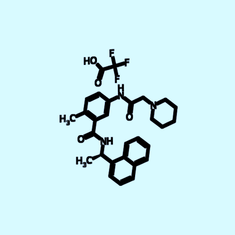 Cc1ccc(NC(=O)CN2CCCCC2)cc1C(=O)N[C@H](C)c1cccc2ccccc12.O=C(O)C(F)(F)F